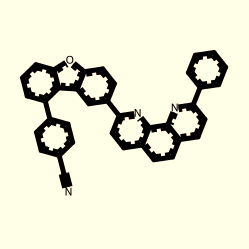 N#Cc1ccc(-c2cccc3oc4ccc(-c5ccc6ccc7ccc(-c8ccccc8)nc7c6n5)cc4c23)cc1